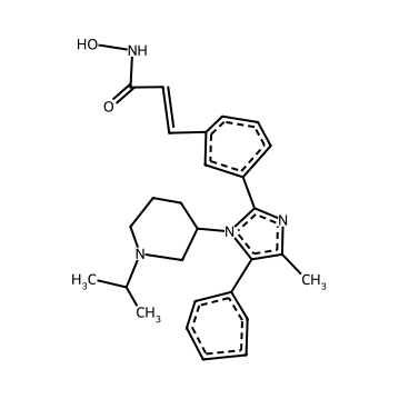 Cc1nc(-c2cccc(C=CC(=O)NO)c2)n(C2CCCN(C(C)C)C2)c1-c1ccccc1